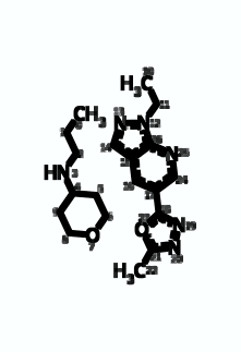 CCCNC1CCOCC1.CCn1ncc2cc(-c3nnc(C)o3)cnc21